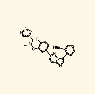 C[C@@H](Cn1cnnn1)Oc1cc(-c2ccc3ncc(-c4ccccc4C#N)n3n2)ccc1F